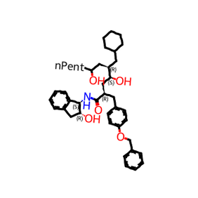 CCCCCC(O)C[C@@H](CC1CCCCC1)[C@@H](O)C[C@@H](Cc1ccc(OCc2ccccc2)cc1)C(=O)N[C@H]1c2ccccc2C[C@H]1O